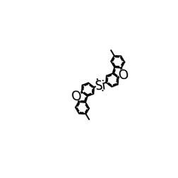 Cc1ccc2oc3ccc([Si](C)(C)c4ccc5oc6ccc(C)cc6c5c4)cc3c2c1